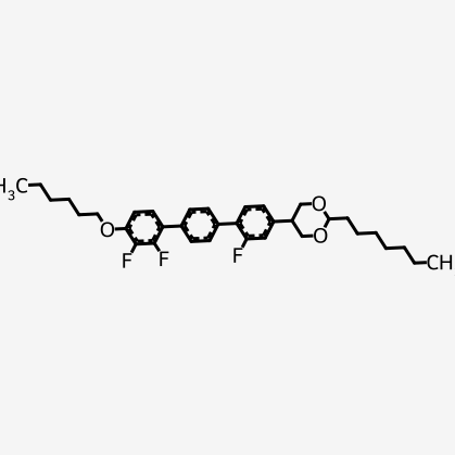 CCCCCCCC1OCC(c2ccc(-c3ccc(-c4ccc(OCCCCCC)c(F)c4F)cc3)c(F)c2)CO1